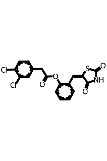 O=C(Cc1ccc(Cl)c(Cl)c1)Oc1ccccc1C=C1SC(=O)NC1=O